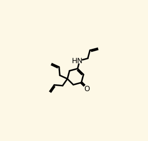 C=CCNC1=CC(=O)CC(CC=C)(CC=C)C1